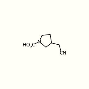 N#CCC1CCN(C(=O)O)C1